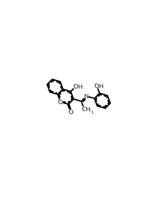 CC(=Nc1ccccc1O)c1c(O)c2ccccc2oc1=O